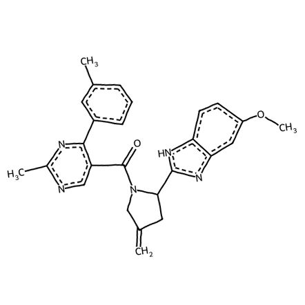 C=C1CC(c2nc3cc(OC)ccc3[nH]2)N(C(=O)c2cnc(C)nc2-c2cccc(C)c2)C1